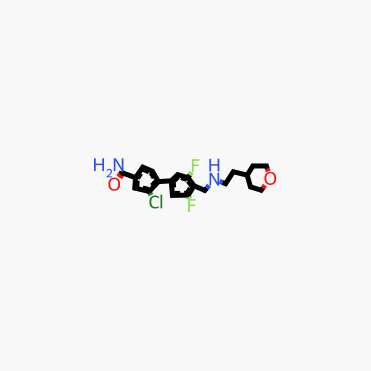 NC(=O)c1ccc(-c2cc(F)c(CNCCC3CCOCC3)c(F)c2)c(Cl)c1